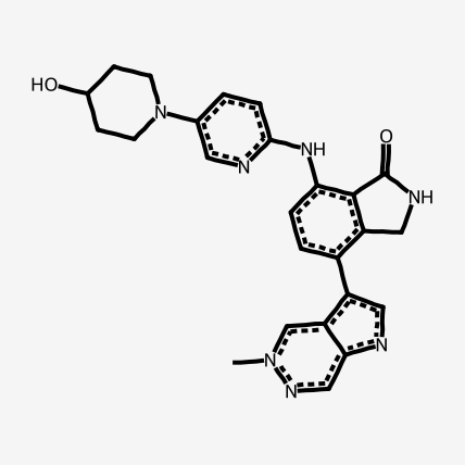 Cn1cc2c(-c3ccc(Nc4ccc(N5CCC(O)CC5)cn4)c4c3CNC4=O)cnc-2cn1